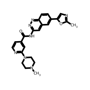 Cc1ncc(-c2ccc3nnc(NC(=O)c4ccnc(N5CCN(C)CC5)c4)cc3c2)o1